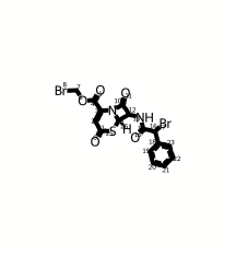 O=C1C=C(C(=O)OCBr)N2C(=O)C(NC(=O)C(Br)c3ccccc3)[C@@H]2S1